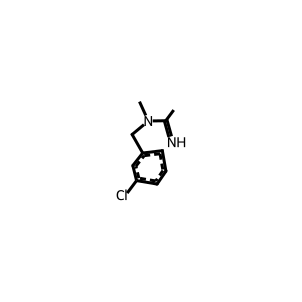 CC(=N)N(C)Cc1cccc(Cl)c1